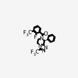 O=C(c1cccc(C(F)(F)F)c1F)N1CCn2c(nnc2C(F)(F)F)[C@@H]1c1ccccc1